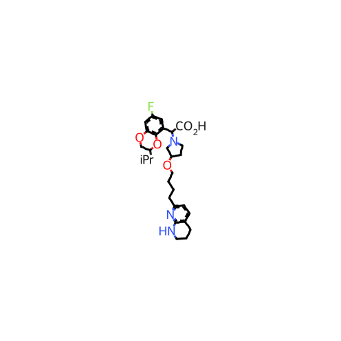 CC(C)C1COc2cc(F)cc(C(C(=O)O)N3CCC(OCCCCc4ccc5c(n4)NCCC5)C3)c2O1